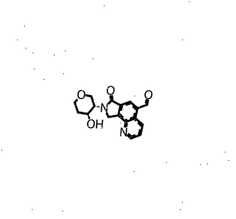 O=Cc1cc2c(c3ncccc13)CN([C@H]1COCC[C@@H]1O)C2=O